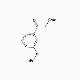 CCCOc1cccc(C(=O)COC)c1